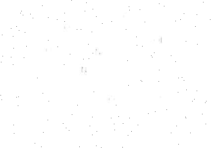 CSCCC(C(=O)O)N(C(C)=O)N1C(=O)c2ccccc2C1=O